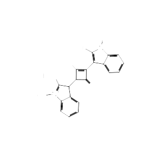 CCCCCCCCc1c(C2=C(O)C(C3C(C)=[N+](CCCCCCCC)c4ccccc43)C2=O)c2ccccc2n1CC